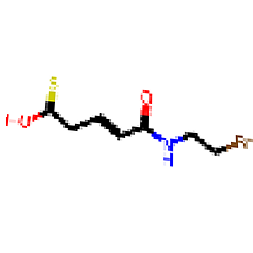 O=C(/C=C/CC(O)=S)NCCBr